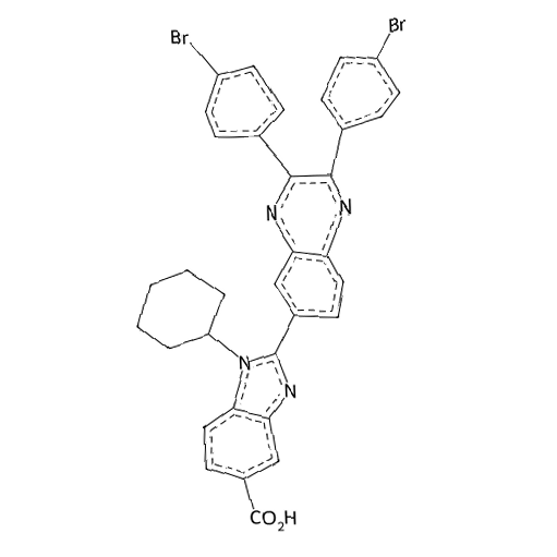 O=C(O)c1ccc2c(c1)nc(-c1ccc3nc(-c4ccc(Br)cc4)c(-c4ccc(Br)cc4)nc3c1)n2C1CCCCC1